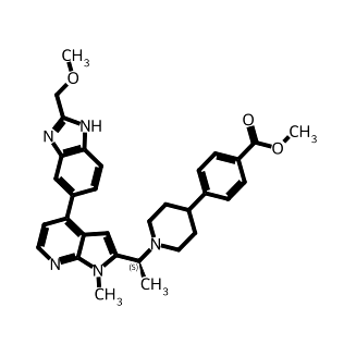 COCc1nc2cc(-c3ccnc4c3cc([C@H](C)N3CCC(c5ccc(C(=O)OC)cc5)CC3)n4C)ccc2[nH]1